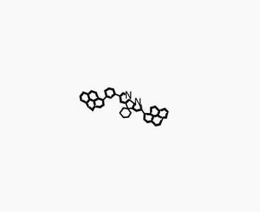 c1cc(-c2cnc3c(c2)C2(CCCCC2)c2cc(-c4ccc5ccc6cccc7ccc4c5c67)cnc2-3)cc(-c2ccc3ccc4cccc5ccc2c3c45)c1